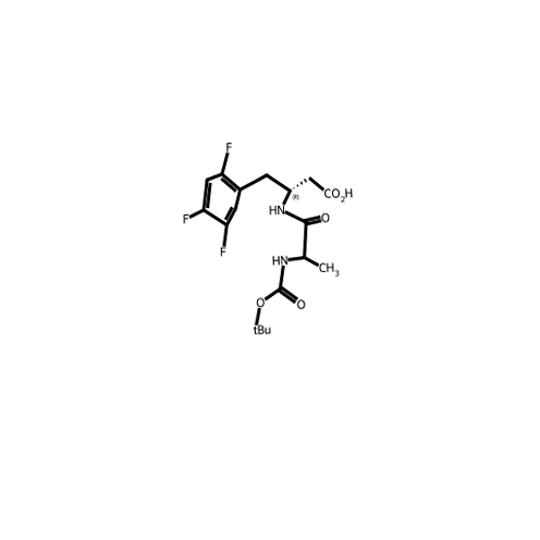 CC(NC(=O)OC(C)(C)C)C(=O)N[C@@H](CC(=O)O)Cc1cc(F)c(F)cc1F